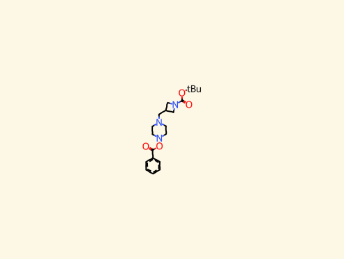 CC(C)(C)OC(=O)N1CC(CN2CCN(OC(=O)c3ccccc3)CC2)C1